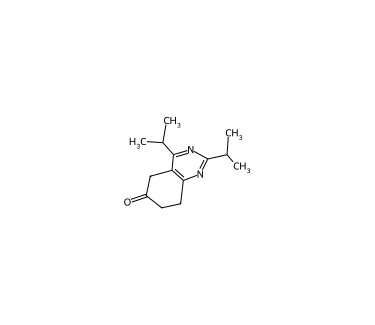 CC(C)c1nc2c(c(C(C)C)n1)CC(=O)CC2